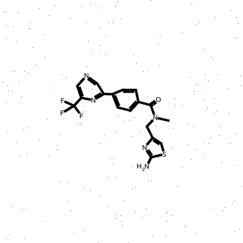 CN(Cc1csc(N)n1)C(=O)c1ccc(-c2cncc(C(F)(F)F)n2)cc1